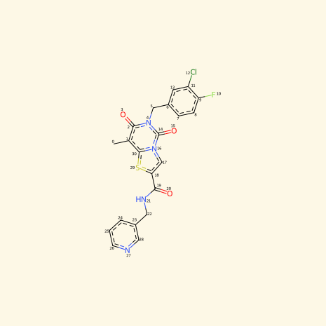 Cc1c(=O)n(Cc2ccc(F)c(Cl)c2)c(=O)n2cc(C(=O)NCc3cccnc3)sc12